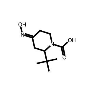 CC(C)(C)C1CC(=NO)CCN1C(=O)O